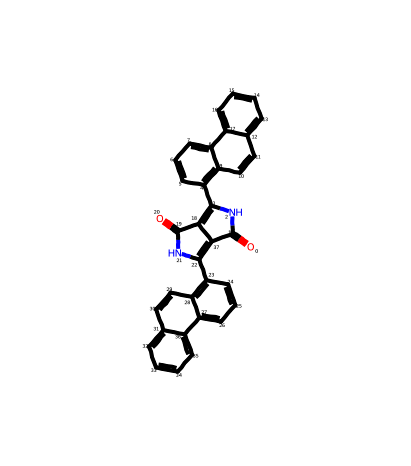 O=C1NC(c2cccc3c2ccc2ccccc23)=C2C(=O)NC(c3cccc4c3ccc3ccccc34)=C12